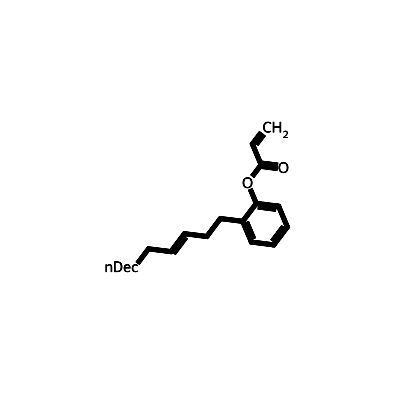 C=CC(=O)Oc1ccccc1CCC=CCCCCCCCCCCC